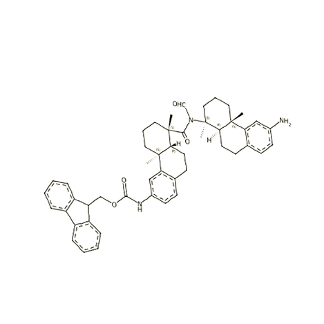 C[C@]1(N(C=O)C(=O)[C@@]2(C)CCC[C@]3(C)c4cc(NC(=O)OCC5c6ccccc6-c6ccccc65)ccc4CC[C@@H]23)CCC[C@]2(C)c3cc(N)ccc3CC[C@@H]12